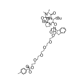 Cc1ccc(S(=O)(=O)OCCOCCOCCOCCOCCO[C@@H]2Cc3ccccc3[C@@H]2NC(=O)[C@@H]2CCCN2C(=O)[C@@H](NC(=O)[C@H](C)N(C)C(=O)OC(C)(C)C)C(C)(C)C)cc1